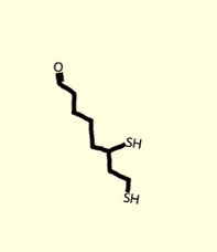 O=CCCCCC(S)CCS